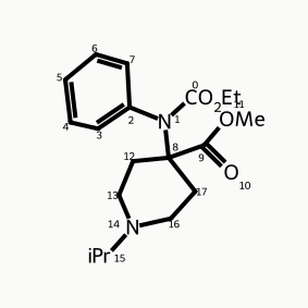 CCOC(=O)N(c1ccccc1)C1(C(=O)OC)CCN(C(C)C)CC1